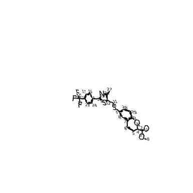 COC(=O)C1C=Cc2cc(SCc3sc(-c4ccc(C(F)(F)F)cc4)nc3C)ccc2O1